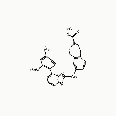 COc1cc(C(F)(F)F)ccc1-c1cccc2nc(Nc3ccc4c(c3)CCN(C(=O)OC(C)(C)C)CC4)nn12